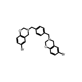 Brc1ccc2c(c1)CN(Cc1ccc(CN3COc4ccc(Br)cc4C3)cc1)CO2